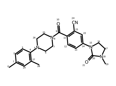 Cc1ccc(N2CCN(C(=O)c3ccc(N4CCN(C)C4=O)cc3C#N)CC2)c(C)c1